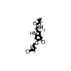 CC1(C(=O)NCc2cc3cc(Cl)c(OCc4ccc(Cl)s4)cc3[nH]2)CC1